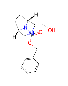 O=C(OCc1ccccc1)N1[C@H]2CC[C@@H]1[C@H](CO)NC2